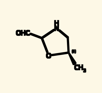 C[C@@H]1CNC(C=O)O1